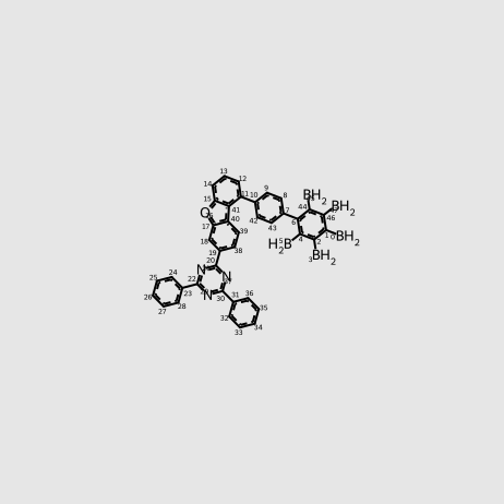 Bc1c(B)c(B)c(-c2ccc(-c3cccc4oc5cc(-c6nc(-c7ccccc7)nc(-c7ccccc7)n6)ccc5c34)cc2)c(B)c1B